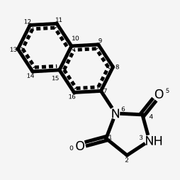 O=C1CNC(=O)N1c1ccc2ccccc2c1